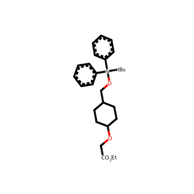 CCOC(=O)COC1CCC(CO[Si](c2ccccc2)(c2ccccc2)C(C)(C)C)CC1